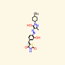 Cc1nn(C2CCC(C(C)(C)C)CC2)c(O)c1/N=N/c1ccc(/C=C2\SC(=O)NC2=O)cc1O